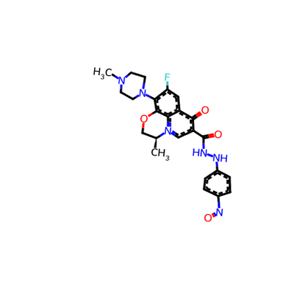 C[C@H]1COc2c(N3CCN(C)CC3)c(F)cc3c(=O)c(C(=O)NNc4ccc(N=O)cc4)cn1c23